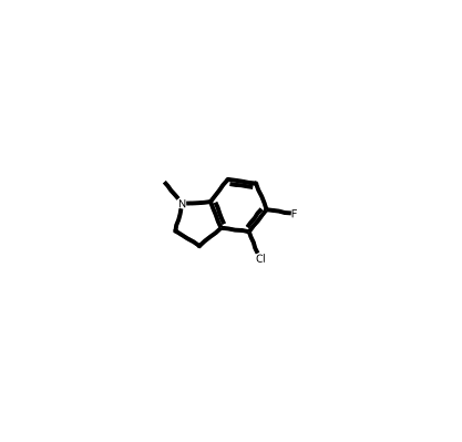 CN1CCc2c1ccc(F)c2Cl